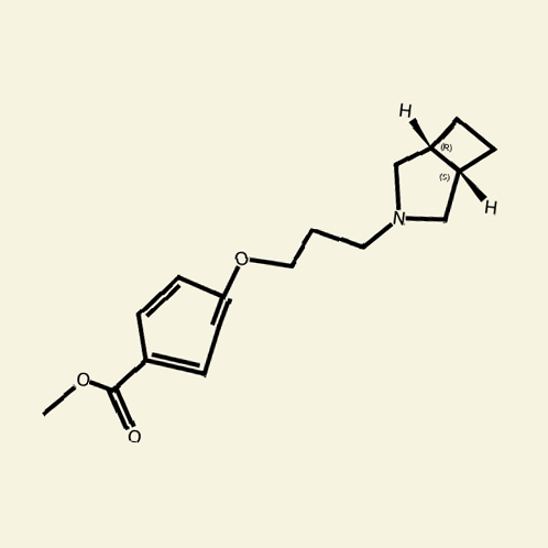 COC(=O)c1ccc(OCCCN2C[C@H]3CC[C@H]3C2)cc1